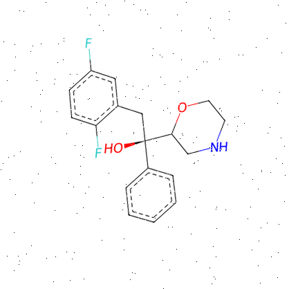 O[C@](Cc1cc(F)ccc1F)(c1ccccc1)C1CNCCO1